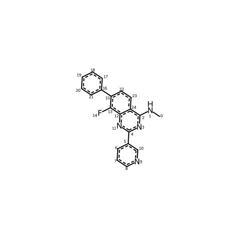 CNc1nc(-c2cccnc2)nc2c(F)c(-c3ccccc3)ccc12